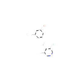 Oc1cc(SCc2c(Cl)cncc2Cl)cc(C(F)(F)F)c1